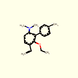 C=Cc1ccc(N(C)C)c(-c2ccc(C)cc2)c1OCC